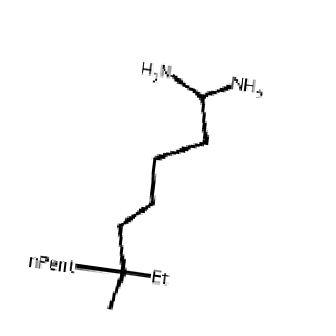 CCCCCC(C)(CC)CCCCC(N)N